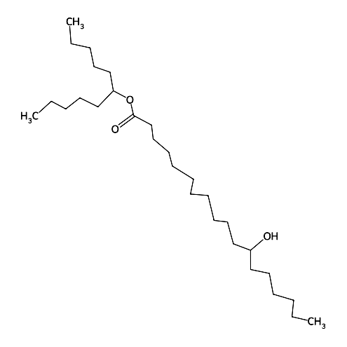 CCCCCCC(O)CCCCCCCCCCC(=O)OC(CCCCC)CCCCC